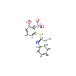 CC1C(Sc2cccc(Br)c2[N+](=O)[O-])=Nc2ccccc21